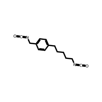 O=C=NCCCCCc1ccc(CN=C=O)cc1